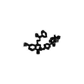 CS(=O)(=O)NS(=O)(=O)c1ccc(Cn2cc(CCC(=O)c3ccccc3)c3cc(Br)ccc3c2=O)cc1